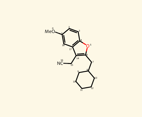 COc1ccc2oc(CC3CCCCC3)c(CC#N)c2c1